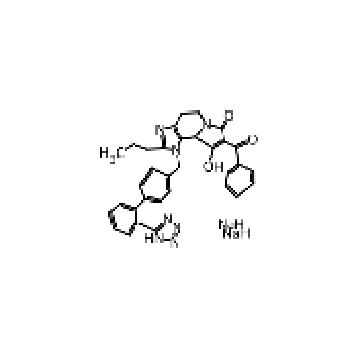 CCCc1nc2c(n1Cc1ccc(-c3ccccc3-c3nnn[nH]3)cc1)C1C(O)=C(C(=O)c3ccccc3)C(=O)N1CC2.[NaH].[NaH]